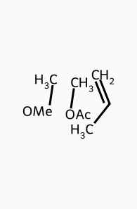 C=CC.COC.COC(C)=O